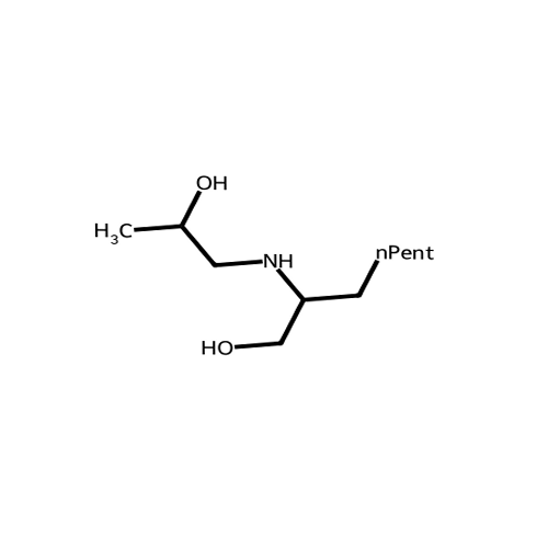 CCCCCCC(CO)NCC(C)O